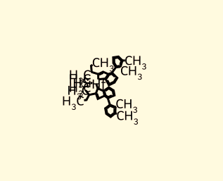 CCC(C)C1=Cc2c(-c3cccc(C)c3C)cccc2[CH]1[Hf]([CH]1C(C(C)CC)=Cc2c(-c3cccc(C)c3C)cccc21)[SiH](C)C